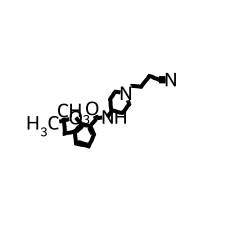 CC1(C)Cc2cccc(C(=O)NC3CCN(CCCC#N)CC3)c2O1